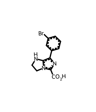 O=C(O)c1nc(-c2cccc(Br)c2)c2n1CCN2